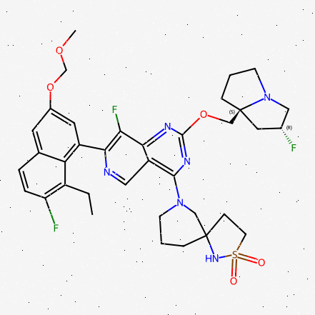 CCc1c(F)ccc2cc(OCOC)cc(-c3ncc4c(N5CCCC6(CCS(=O)(=O)N6)C5)nc(OC[C@@]56CCCN5C[C@H](F)C6)nc4c3F)c12